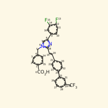 O=C(O)c1ccc(Cn2cc(-c3ccc(F)c(F)c3)nc2C=Cc2ccc(-c3cccc(C(F)(F)F)c3)cc2)cc1